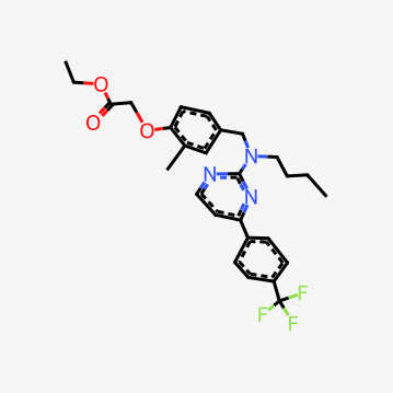 CCCCN(Cc1ccc(OCC(=O)OCC)c(C)c1)c1nccc(-c2ccc(C(F)(F)F)cc2)n1